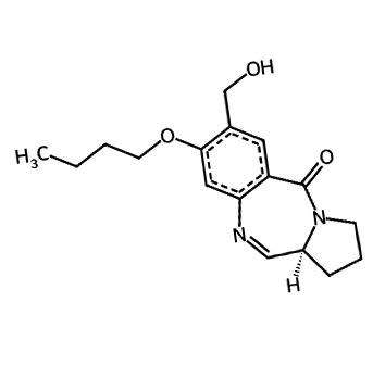 CCCCOc1cc2c(cc1CO)C(=O)N1CCC[C@H]1C=N2